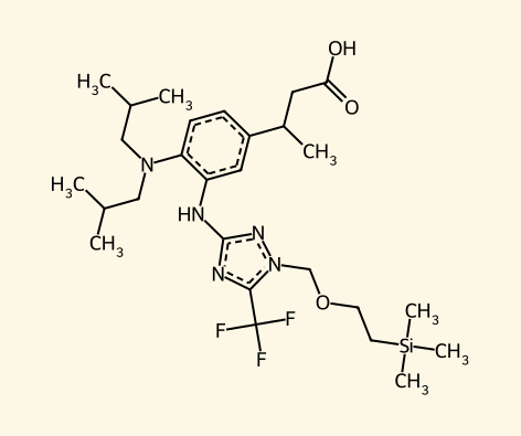 CC(C)CN(CC(C)C)c1ccc(C(C)CC(=O)O)cc1Nc1nc(C(F)(F)F)n(COCC[Si](C)(C)C)n1